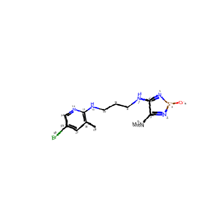 CNc1n[s+]([O-])nc1NCCCNc1ncc(Br)cc1C